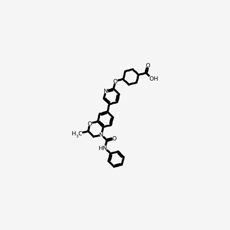 CC1CN(C(=O)Nc2ccccc2)c2ccc(-c3ccc(OC4CCC(C(=O)O)CC4)nc3)cc2O1